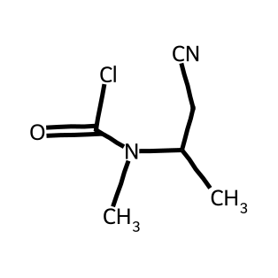 CC(CC#N)N(C)C(=O)Cl